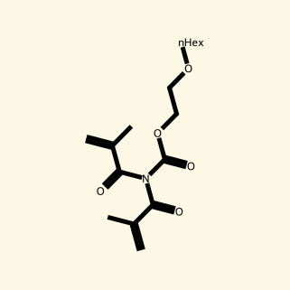 C=C(C)C(=O)N(C(=O)OCCOCCCCCC)C(=O)C(=C)C